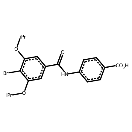 CC(C)Oc1cc(C(=O)Nc2ccc(C(=O)O)cc2)cc(OC(C)C)c1Br